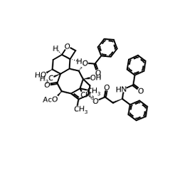 CC(=O)O[C@H]1C(=O)[C@@]2(C)C([C@@H]3CO[C@@H]3C[C@@H]2O)[C@H](OC(=O)c2ccccc2)[C@]2(O)C[C@H](OC(=O)C[C@@H](NC(=O)c3ccccc3)c3ccccc3)C(C)=C1C2(C)C